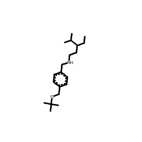 CCC(CCNCc1ccc(COC(C)(C)C)cc1)C(C)C